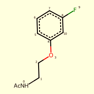 CC(=O)NCCOc1cccc(F)c1